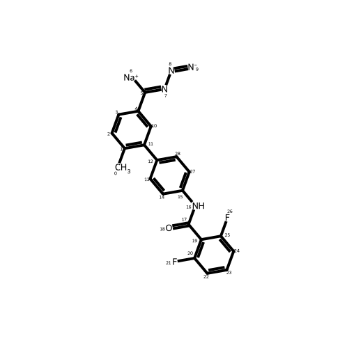 Cc1ccc([C]([Na+])=NN=[N-])cc1-c1ccc(NC(=O)c2c(F)cccc2F)cc1